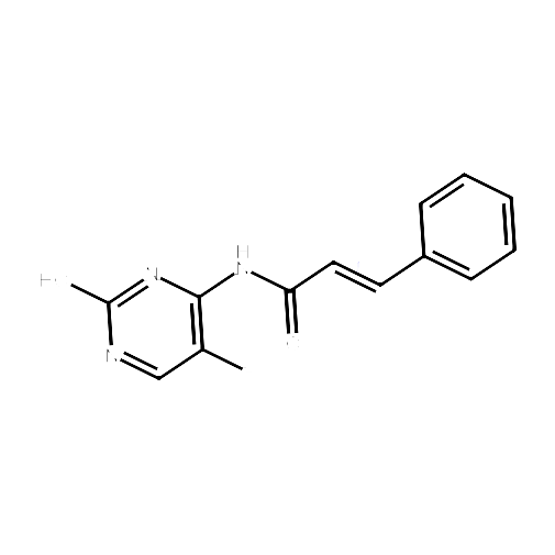 O=C(/C=C/c1ccccc1)Nc1nc(O)ncc1F